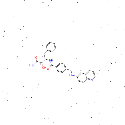 NC(=O)[C@@H](O)C(Cc1ccccc1)NC(=O)c1ccc(CNc2ccc3ncccc3c2)cc1